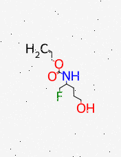 C=CCOC(=O)NC(CF)CCCO